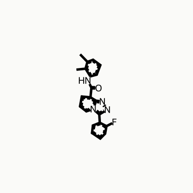 Cc1cccc(NC(=O)c2cccn3c(-c4ccccc4F)nnc23)c1C